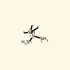 C[Si](C)(C)[SiH]([SiH3])[SiH3]